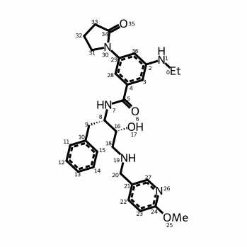 CCNc1cc(C(=O)N[C@@H](Cc2ccccc2)[C@H](O)CNCc2ccc(OC)nc2)cc(N2CCCC2=O)c1